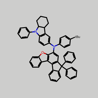 CC(C)(C)c1ccc(N(c2ccc3c(c2)C2CCCCC2N3c2ccccc2)c2cc3c(c4c2oc2ccccc24)-c2ccccc2C3(c2ccccc2)c2ccccc2)cc1